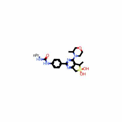 CCCNC(=O)Nc1ccc(-c2nc3c(c(N4CCOCC4C)n2)C(C)S(O)(O)C3)cc1